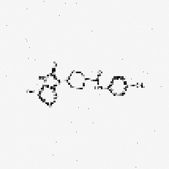 Cc1ccc(NC(=O)C2CCC(n3c(=O)[nH]c4c(Br)cccc43)CC2)cn1